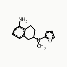 CN(c1ccco1)C1CCc2c(N)cccc2C1